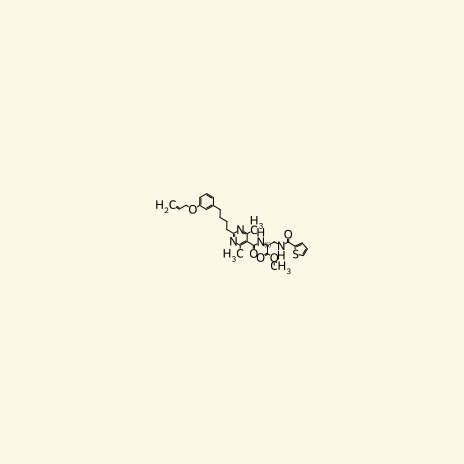 C=CCOc1cccc(CCCCc2nc(C)c(C(=O)N[C@@H](CNC(=O)c3cccs3)C(=O)OC)c(C)n2)c1